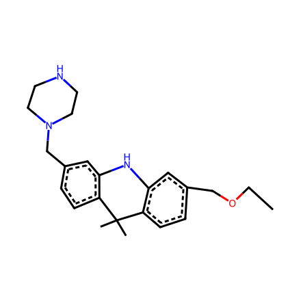 CCOCc1ccc2c(c1)Nc1cc(CN3CCNCC3)ccc1C2(C)C